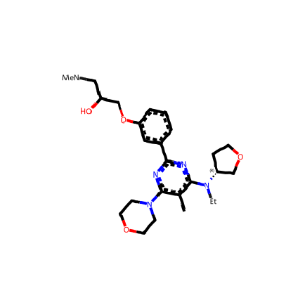 CCN(c1nc(-c2cccc(OCC(O)CNC)c2)nc(N2CCOCC2)c1C)[C@@H]1CCOC1